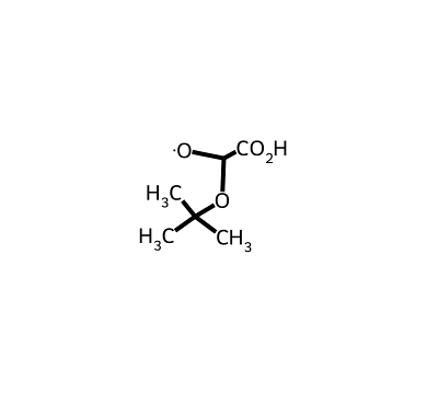 CC(C)(C)OC([O])C(=O)O